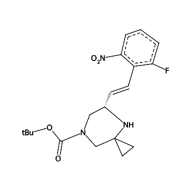 CC(C)(C)OC(=O)N1C[C@H](C=Cc2c(F)cccc2[N+](=O)[O-])NC2(CC2)C1